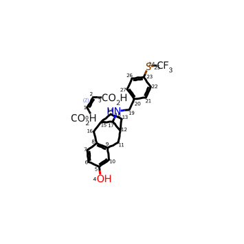 O=C(O)/C=C\C(=O)O.Oc1ccc2c(c1)CC1CCC(C2)C1NCc1ccc(SC(F)(F)F)cc1